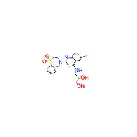 Cc1ccc2nc(N3CCS(=O)(=O)c4ccccc4C3)cc(NCC(O)CO)c2c1